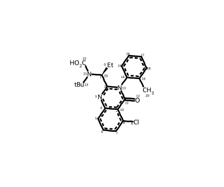 CC[C@@H](c1nc2cccc(Cl)c2c(=O)n1-c1ccccc1C)N(C(=O)O)C(C)(C)C